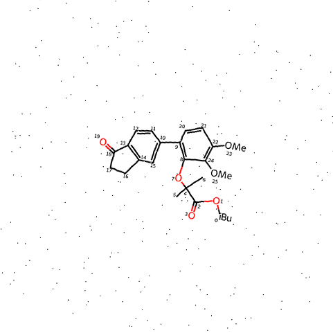 CCC(C)OC(=O)C(C)(C)Oc1c(-c2ccc3c(c2)CCC3=O)ccc(OC)c1OC